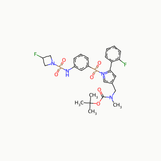 CN(Cc1cc(-c2ccccc2F)n(S(=O)(=O)c2cccc(NS(=O)(=O)N3CC(F)C3)c2)c1)C(=O)OC(C)(C)C